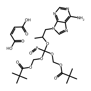 CC(Cn1cnc2c(N)ncnc21)OC(OCOC(=O)C(C)(C)C)(OCOC(=O)C(C)(C)C)P=O.O=C(O)/C=C\C(=O)O